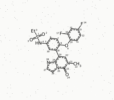 CCS(=O)(=O)Nc1ccc(Oc2ccc(F)cc2F)c(-c2cn(C)c(=O)n3ccnc23)c1